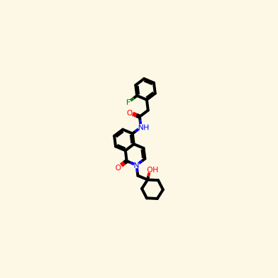 O=C(Cc1ccccc1F)Nc1cccc2c(=O)n(CC3(O)CCCCC3)ccc12